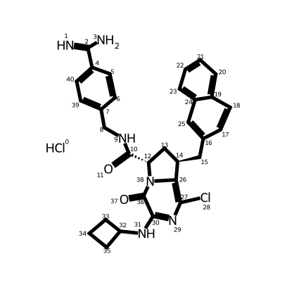 Cl.N=C(N)c1ccc(CNC(=O)[C@@H]2C[C@@H](Cc3ccc4ccccc4c3)c3c(Cl)nc(NC4CCC4)c(=O)n32)cc1